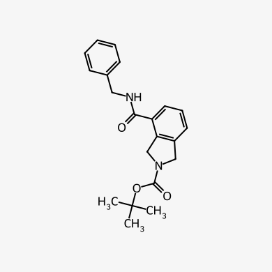 CC(C)(C)OC(=O)N1Cc2cccc(C(=O)NCc3ccccc3)c2C1